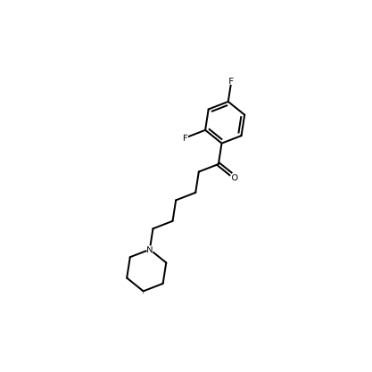 O=C(CCCCCN1CC[CH]CC1)c1ccc(F)cc1F